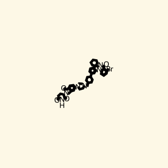 O=C1CCC(N2Cc3cc(N4CCN(CC5CCC(c6ccc7c(c6)-n6c(nc(=O)c8c(Br)cccc86)C76CCCCC6)CC5)CC4)ccc3C2=O)C(=O)N1